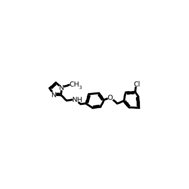 Cn1ccnc1CNCc1ccc(OCc2cccc(Cl)c2)cc1